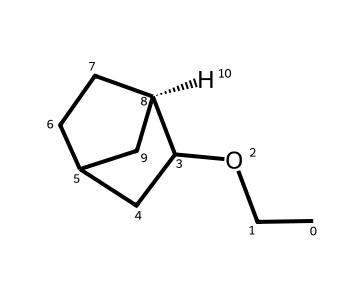 CCOC1CC2CC[C@@H]1C2